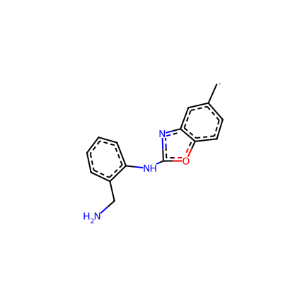 [CH2]c1ccc2oc(Nc3ccccc3CN)nc2c1